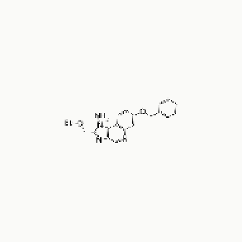 CCOCc1nc2cnc3cc(OCc4ccccc4)ccc3c2n1N